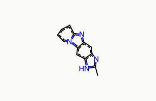 Cc1nc2cc3nc4ccccn4c3cc2[nH]1